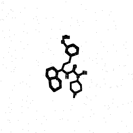 CCCCOc1cccc(CCC(NC(=O)N(CC)C2CCN(C)CC2)c2cccc3ccccc23)c1